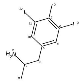 Cc1c(I)cc(CC(C)N)cc1I